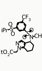 CCOC(=O)Cn1ncc2c1CCC[C@H]2N(C)S(=O)(=O)c1cc(C(F)(F)F)cc(S(=O)(=O)C(C)C)c1